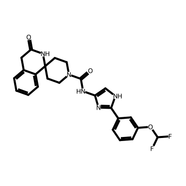 O=C1Cc2ccccc2C2(CCN(C(=O)Nc3c[nH]c(-c4cccc(OC(F)F)c4)n3)CC2)N1